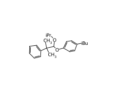 CCC(C)c1ccc(OC(OC(C)C)C(C)(C)c2ccccc2)cc1